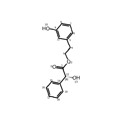 O=C(OCCc1cccc(O)c1)[C@H](O)c1ccccc1